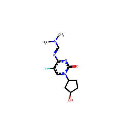 CN(C)C=Nc1nc(=O)n(C2CCC(O)C2)cc1F